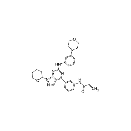 C=CC(=O)Nc1cccc(-c2nc(Nc3cccc(N4CCOCC4)c3)nc3c2cnn3C2CCCCO2)c1